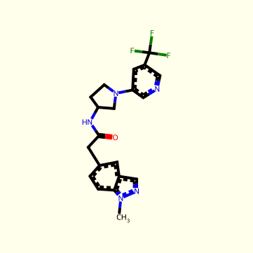 Cn1ncc2cc(CC(=O)NC3CCN(c4cncc(C(F)(F)F)c4)C3)ccc21